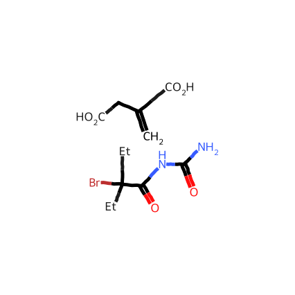 C=C(CC(=O)O)C(=O)O.CCC(Br)(CC)C(=O)NC(N)=O